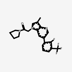 Cc1cn(CC(=O)N2CCCC2)c2cc(-c3cccc(C(F)(F)F)c3F)cnc12